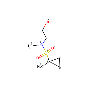 CN(CCO)S(=O)(=O)C1(C)CC1